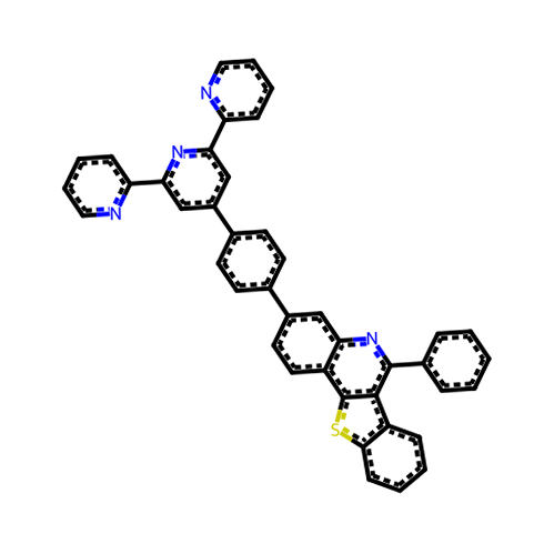 c1ccc(-c2nc3cc(-c4ccc(-c5cc(-c6ccccn6)nc(-c6ccccn6)c5)cc4)ccc3c3sc4ccccc4c23)cc1